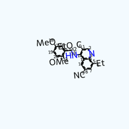 CCOC(=O)c1cnc2c(CC)cc(C#N)cc2c1NCc1cc(OC)ccc1OC